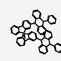 O=S12(c3ccccc3-c3cc(N4c5ccccc5B(c5ccccc5)c5ccccc54)ccc31)c1ccccc1-c1ccc(N3c4ccccc4B(c4ccccc4)c4ccccc43)cc12